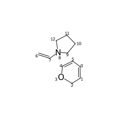 C1=CCOC=C1.C=CN1CCCC1